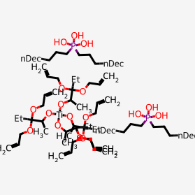 C=CCOC(CC)(OCC=C)C(C)[O][Ti]([O]C(C)C(CC)(OCC=C)OCC=C)([O]C(C)C(CC)(OCC=C)OCC=C)[O]C(C)C(CC)(OCC=C)OCC=C.CCCCCCCCCCCCCP(O)(O)(O)CCCCCCCCCCCCC.CCCCCCCCCCCCCP(O)(O)(O)CCCCCCCCCCCCC